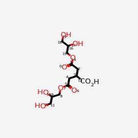 O=C(CC(CC(=O)OCC(O)CO)C(=O)O)OCC(O)CO